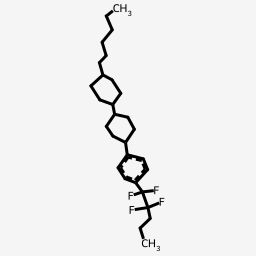 CCCCCCC1CCC(C2CCC(c3ccc(C(F)(F)C(F)(F)CCC)cc3)CC2)CC1